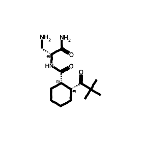 CC(C)(C)C(=O)[C@@H]1CCCC[C@@H]1C(=O)N[C@H](CN)C(N)=O